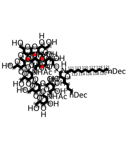 CCCCCCCCCCCCC/C=C/[C@@H](O)[C@H](CO[C@@H]1OC(CO)[C@@H](O[C@@H]2OC(CO)[C@H](O)[C@H](O[C@@H]3OC(CO)[C@@H](O[C@@H]4OC(CO)[C@H](O)[C@H](O[C@H]5OC(CO)[C@H](O)[C@H](O[C@@H]6OC(CO)[C@H](O)[C@H](O[C@H]7OC(CO)[C@H](O)[C@H](O)C7NC(C)=O)C6O[C@H]6OC(C)[C@@H](O)C(O)[C@@H]6O)C5NC(C)=O)C4O[C@H]4OC(C)[C@@H](O)C(O)[C@@H]4O)[C@H](O)C3NC(C)=O)C2O)[C@H](O)C1O)NC(=O)CCCCCCCCCCCCCCCCCCCCC